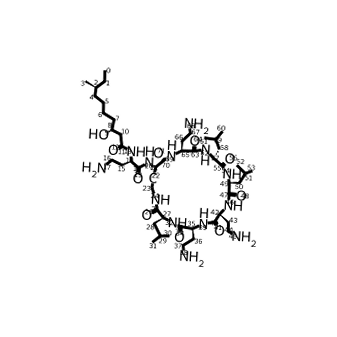 CC[C@H](C)CCCC[C@@H](O)CC(=O)N[C@H](CCN)C(=O)N[C@H]1CCNC(=O)[C@H](CC(C)C)NC(=O)[C@H](CCN)NC(=O)[C@H](CCN)NC(=O)[C@H](CC(C)C)NC(=O)[C@@H](CC(C)C)NC(=O)[C@H](CCN)NC1=O